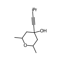 CC(C)C#CC1(O)CC(C)OC(C)C1